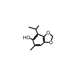 Cc1cc2c(c(C(C)C)c1O)OCO2